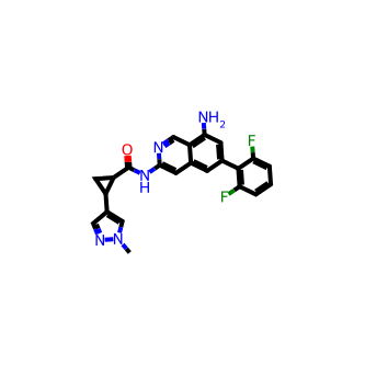 Cn1cc(C2CC2C(=O)Nc2cc3cc(-c4c(F)cccc4F)cc(N)c3cn2)cn1